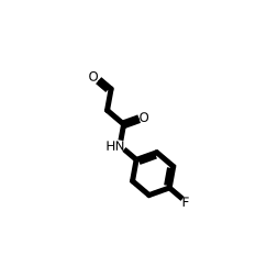 O=CCC(=O)NC1=CC=C(F)CC1